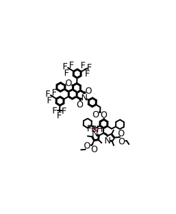 CCOC(=O)C1=C(C)/C(=C(\c2c(CC3CCCCC3)cc(OC(=O)Cc3ccc(-n4c(=O)c5cc(-c6cc(C(F)(F)F)cc(C(F)(F)F)c6)c6oc7ccccc7c7c(-c8cc(C(F)(F)F)cc(C(F)(F)F)c8)cc(c4=O)c5c67)cc3)cc2CC2CCCCC2)c2c(C)c(C(=O)OCC)c(C)n2BF)N=C1C